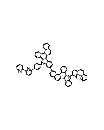 c1ccc(-c2cccc(-c3ccc(-n4c5cc(-c6ccc7ccc8c(c7c6)c6ccccc6c6c8c7ccccc7n6-c6ccc7ccc8cccnc8c7n6)ccc5c5c6ccc7ccccc7c6c6ccccc6c54)cc3)n2)nc1